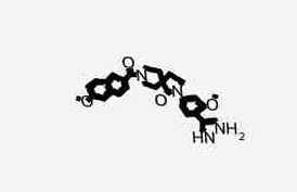 COc1ccc2cc(C(=O)N3CCC4(CC3)CCN(c3ccc(/C(C=N)=C/N)c(OC)c3)C4=O)ccc2c1